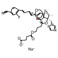 C[C@@H](S[C@H]1CO[C@H](/C=C/C=C/c2ccc(C#N)cc2F)OC1)[C@@](Cn1cncn1)(OC(=O)CCCOC(=O)CCC(=O)[O-])c1ccc(F)cc1F.[Na+]